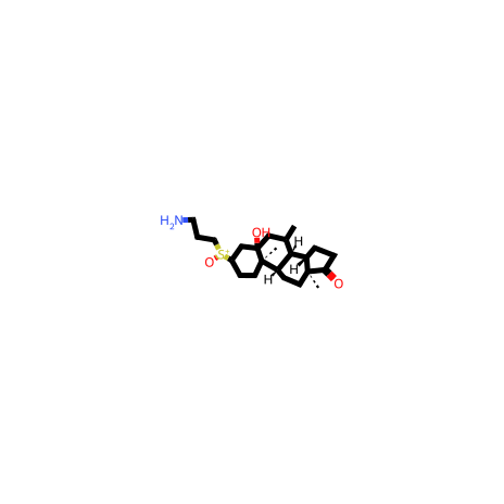 CC1CC2(O)CC([S+]([O-])CCCN)CC[C@]2(C)[C@@H]2CC[C@]3(C)C(=O)CC[C@H]3[C@H]12